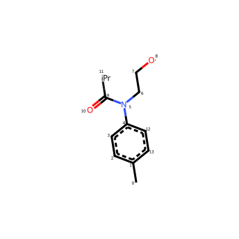 Cc1ccc(N(CC[O])C(=O)C(C)C)cc1